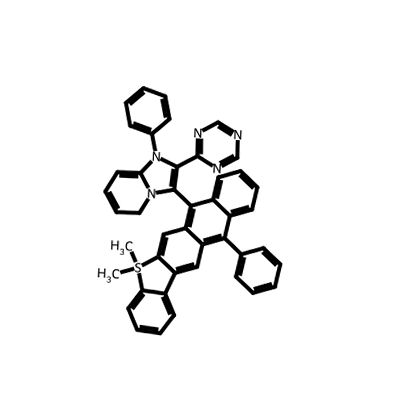 CS1(C)c2ccccc2-c2cc3c(-c4ccccc4)c4ccccc4c(C4=C(c5ncncn5)N(c5ccccc5)C5=CC=CCN54)c3cc21